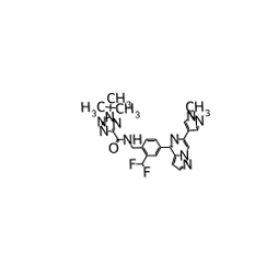 Cn1cc(-c2cn3nccc3c(-c3ccc(CNC(=O)c4nnn(C(C)(C)C)n4)c(C(F)F)c3)n2)cn1